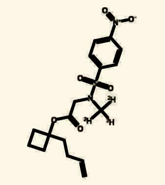 [2H]C([2H])([2H])N(CC(=O)OC1(CCC=C)CCC1)S(=O)(=O)c1ccc([N+](=O)[O-])cc1